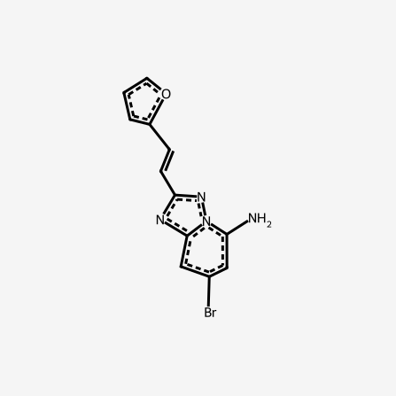 Nc1cc(Br)cc2nc(C=Cc3ccco3)nn12